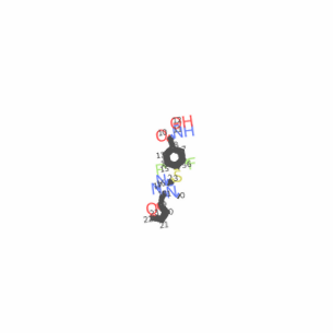 Cn1c(Sc2c(F)cc(C(=O)NO)cc2F)nnc1-c1ccco1